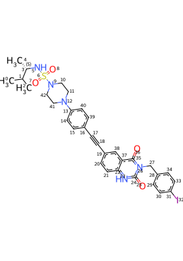 CC(C)[C@H](C)NS(=O)(=O)N1CCN(c2ccc(C#Cc3ccc4[nH]c(=O)n(Cc5ccc(I)cc5)c(=O)c4c3)cc2)CC1